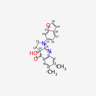 Cc1cc2c(cc1C)C(=O)C1(O)CCN(c3ccc4ccoc4c3)C1=N2